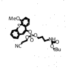 COc1cccc2c1Sc1ccccc1C=C2OP(=O)(OCCC#N)OCCCNC(=O)OC(C)(C)C